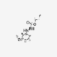 CCCOC(=O)NNc1cccc(OC)c1